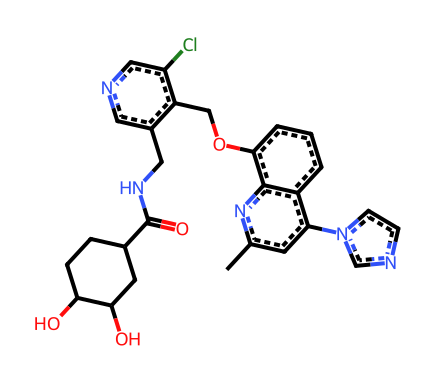 Cc1cc(-n2ccnc2)c2cccc(OCc3c(Cl)cncc3CNC(=O)C3CCC(O)C(O)C3)c2n1